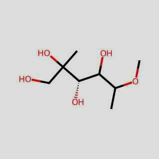 COC(C)C(O)[C@H](O)C(C)(O)CO